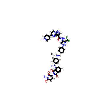 CN(C[C@H]1CC[C@H](n2cc(NC(=O)c3cnn4ccc(C5CCNCC5)nc34)c(C(F)F)n2)CC1)[C@H]1CC[C@H](Nc2cccc3c2C(=O)N(C2CCC(=O)NC2=O)C3=O)CC1